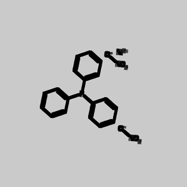 O=[N+]([O-])[O-].O=[N+]([O-])[O-].[Ni+2].c1ccc(P(c2ccccc2)c2ccccc2)cc1